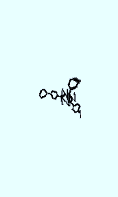 Ic1ccc(-c2nc(-c3ccccc3)nc(-c3ccc(-c4ccccc4)cc3)n2)cc1